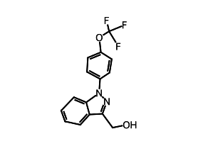 OCc1nn(-c2ccc(OC(F)(F)F)cc2)c2ccccc12